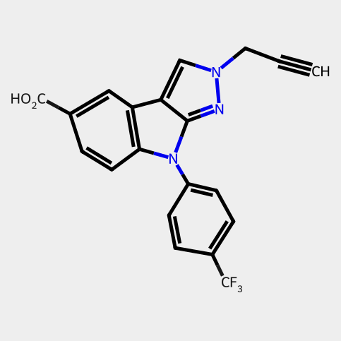 C#CCn1cc2c3cc(C(=O)O)ccc3n(-c3ccc(C(F)(F)F)cc3)c2n1